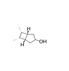 C[C@@H]1[C@H](C)[C@@H]2CC(O)C[C@H]12